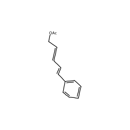 CC(=O)OCC=CC=Cc1ccccc1